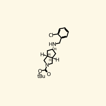 CC(C)(C)OC(=O)N1C[C@H]2C[C@@H](NCc3ccccc3Cl)C[C@H]2C1